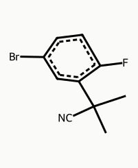 CC(C)(C#N)c1cc(Br)ccc1F